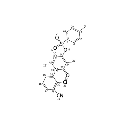 Cc1ccc(S(=O)(=O)Oc2nc(C)n(-c3cccc(C#N)c3Cl)c(=O)c2C)cc1